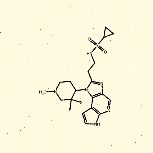 CN1CCC(n2c(CCNS(=O)(=O)C3CC3)nc3cnc4[nH]ccc4c32)C(F)(F)C1